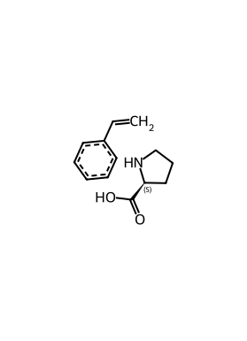 C=Cc1ccccc1.O=C(O)[C@@H]1CCCN1